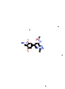 CNCc1c(OC)cc(-c2cc(NC(C)=O)c3nnc(C)n3c2)cc1OC